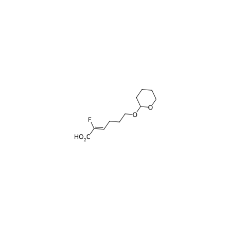 O=C(O)C(F)=CCCCOC1CCCCO1